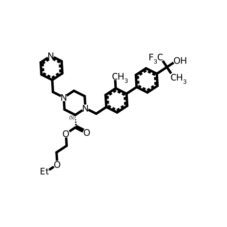 CCOCCOC(=O)[C@@H]1CN(Cc2ccncc2)CCN1Cc1ccc(-c2ccc(C(C)(O)C(F)(F)F)cc2)c(C)c1